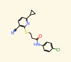 N#Cc1ccc(C2CC2)nc1SCCC(=O)Nc1ccc(Cl)cc1